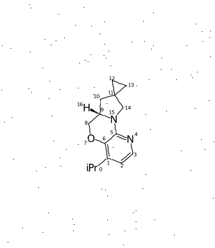 CC(C)c1ccnc2c1OC[C@@H]1CC3(CC3)CN21